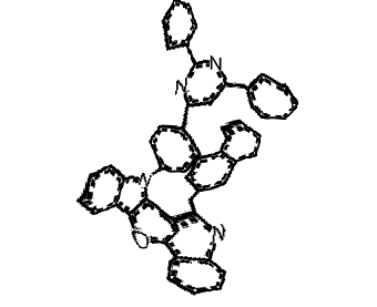 c1ccc(-c2cc(-c3ccc(-n4c5ccccc5c5oc6c7ccccc7nc(-c7ccc8ccccc8c7)c6c54)cc3)nc(-c3ccccc3)n2)cc1